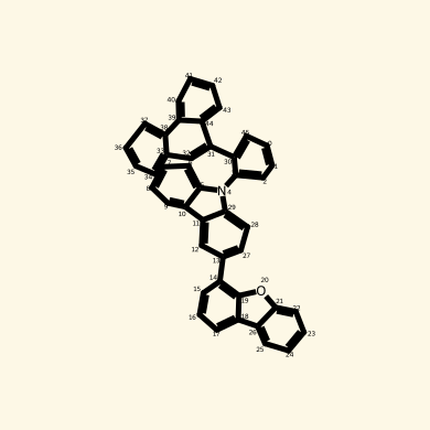 c1ccc(-n2c3ccccc3c3cc(-c4cccc5c4oc4ccccc45)ccc32)c(-c2cc3ccccc3c3ccccc23)c1